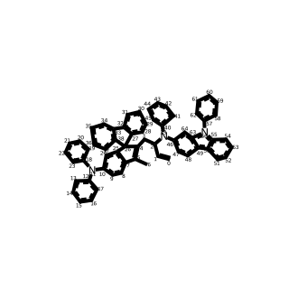 C=CC(CC1=C(C)c2ccc(N(c3ccccc3)c3ccccc3)cc2C12c1ccccc1-c1ccccc12)N(c1ccccc1)c1ccc2c3ccccc3n(-c3ccccc3)c2c1